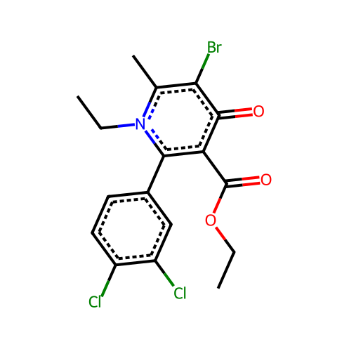 CCOC(=O)c1c(-c2ccc(Cl)c(Cl)c2)n(CC)c(C)c(Br)c1=O